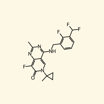 Cc1nc(NCc2cccc(C(F)F)c2F)c2cn(C3(C)CC3)c(=O)c(F)c2n1